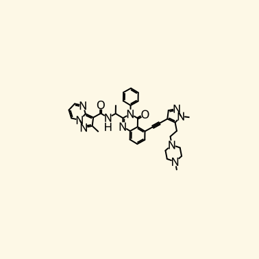 Cc1nn2cccnc2c1C(=O)NC(C)c1nc2cccc(C#Cc3cnn(C)c3CCN3CCN(C)CC3)c2c(=O)n1-c1ccccc1